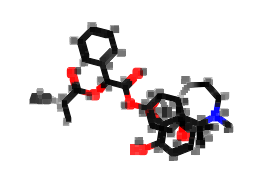 CC(=O)O[C@@H](C)C(=O)O[C@H](C(=O)OC1=CC[C@@]2(O)[C@H]3Cc4ccc(O)c5c4[C@@]2(CCCN3C)[C@H]1O5)c1ccccc1